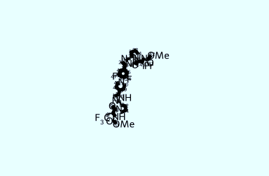 COC(=O)N[C@@H](CC(F)(F)F)C(=O)N1CCC[C@H]1C1=NCC(C2CCN(c3c(F)cc(-c4cnc([C@@H]5CCCN5C(=O)[C@@H](NC(=O)OC)C(C)C)[nH]4)cc3F)CC2)N1